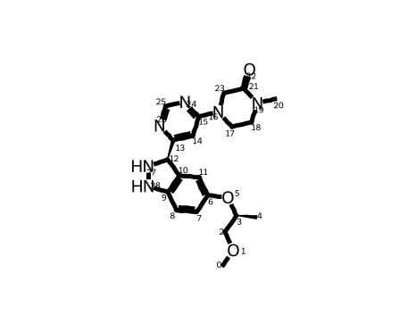 COC[C@H](C)Oc1ccc2c(c1)[C@H](c1cc(N3CCN(C)C(=O)C3)ncn1)NN2